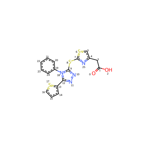 O=C(O)Cc1csc(Sc2nnc(-c3cccs3)n2-c2ccccc2)n1